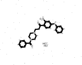 Cl.Cl.O=C(CCN1CCN(C(=O)c2ccccc2)CC1)c1ccc(Sc2ccccc2)cc1[N+](=O)[O-]